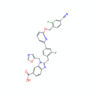 N#Cc1ccc(COc2cccc(-c3ccc(Cc4nc5ccc(C(=O)O)cc5n4Cc4cnco4)c(F)c3)n2)c(F)c1